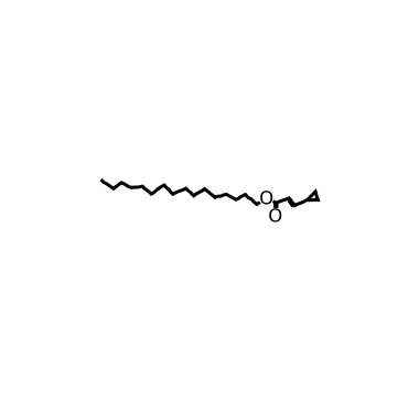 CCCCCCCCCCCCCCCCOC(=O)C=CC1CC1